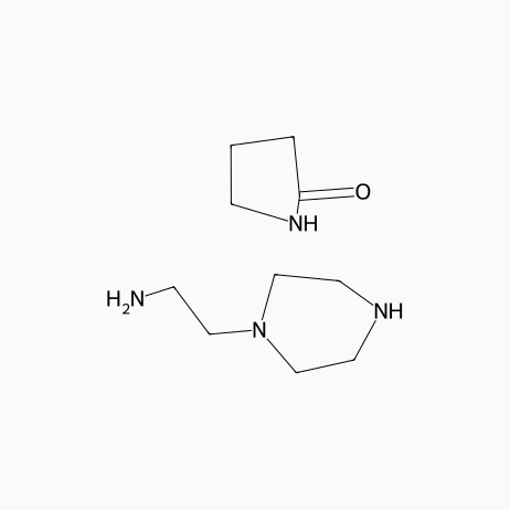 NCCN1CCNCC1.O=C1CCCN1